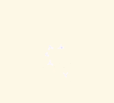 CC(Nc1ncnc2c1cc(C1(C)CN(C(=O)O)C1)c(=O)n2C)c1cccc(C(F)F)c1F